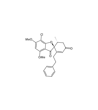 COc1cc(OC)c2c(c1Cl)O[C@]1(C2=O)C(CCc2ccccc2)=CC(=O)C[C@H]1C